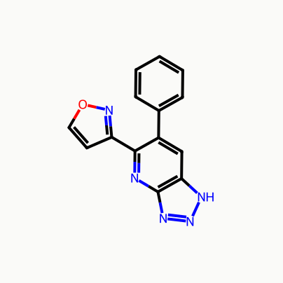 c1ccc(-c2cc3[nH]nnc3nc2-c2ccon2)cc1